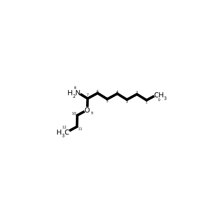 CCCCCCCC(N)OCCC